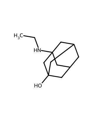 CCNC12CC3CC(CC(O)(C3)C1)C2